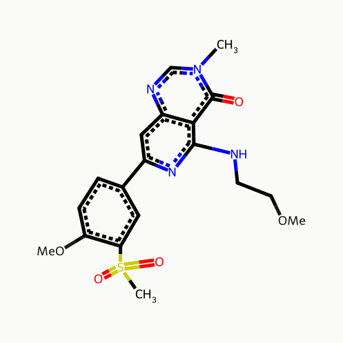 COCCNc1nc(-c2ccc(OC)c(S(C)(=O)=O)c2)cc2ncn(C)c(=O)c12